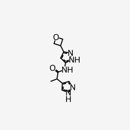 CC(C(=O)Nc1cc(C2COC2)n[nH]1)c1cn[nH]c1